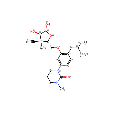 C#C[C@@]1(OC(C)=O)[C@@H](COc2cc(N3CCCN(C)C3=O)ccc2CC(C(=O)O)C(=O)O)OC(O)[C@@H]1O